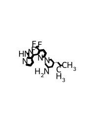 CC(C)C[C@@H]1C[C@@H](N)CN(c2ccc(C(F)(F)F)c(-c3n[nH]c4ncccc34)n2)C1